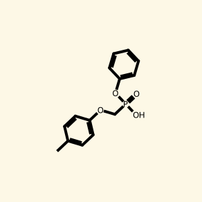 Cc1ccc(OCP(=O)(O)Oc2ccccc2)cc1